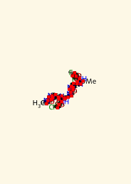 COc1ncc(-c2ccc3ncc(-n4ccc(CCOc5ncc(-c6ccc7ncc(-n8ccc(C)n8)c(=O)n7c6)cc5NS(=O)(=O)c5ccc(Cl)s5)n4)c(=O)n3c2)cc1NS(=O)(=O)c1ccc(F)cc1F